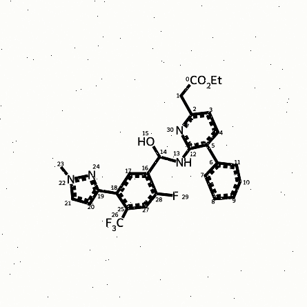 CCOC(=O)Cc1ccc(-c2ccccc2)c(NC(O)c2cc(-c3ccn(C)n3)c(C(F)(F)F)cc2F)n1